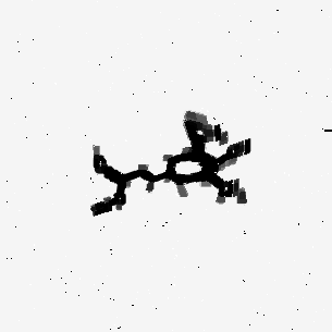 Cc1cc(CCC(=O)OC(C)(C)C)cc(C)c1O